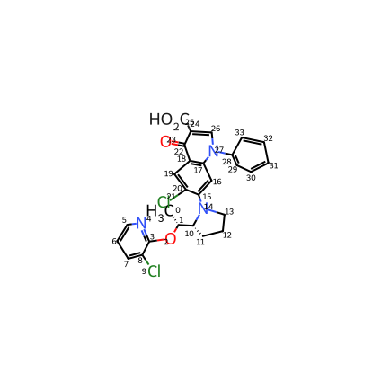 C[C@@H](Oc1ncccc1Cl)[C@H]1CCCN1c1cc2c(cc1Cl)c(=O)c(C(=O)O)cn2-c1ccccc1